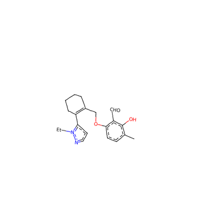 CCn1nccc1C1=C(COc2ccc(C)c(O)c2C=O)CCCC1